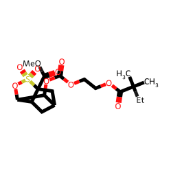 CCC(C)(C)C(=O)OCCOC(=O)OC1C2CC3C1OS(=O)(=O)C3(C(=O)OC)C2